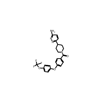 Nc1ccc(C2CCN(C(=O)c3ccc(Oc4ccc(OC(F)(F)F)cc4)cc3)CC2)nn1